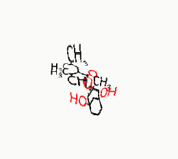 CC(C)CC(C(=O)OC1(C)CC2(O)CCCC(O)(C2)C1)C(C)C